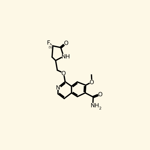 COc1cc2c(OCC3C[C@H](F)C(=O)N3)nccc2cc1C(N)=O